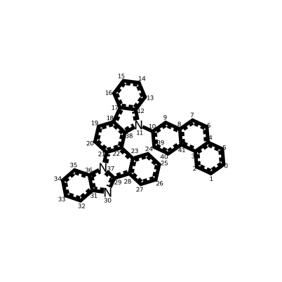 c1ccc2c(c1)ccc1cc(-n3c4ccccc4c4ccc5c(c6ccccc6c6nc7ccccc7n56)c43)ccc12